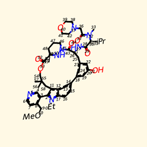 CCn1c(-c2cnccc2COC)c2c3cc(ccc31)-c1cc(O)cc(c1)C[C@H](NC(=O)[C@H](C(C)C)N(C)C(=O)CN1CCOCC1)C(=O)N1CCC[C@H](N1)C(=O)OCC(C)(C)C2